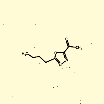 CCCCc1nnc(C(C)=O)o1